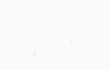 CCCCCCCCCCCCCCCCCCOC1CNC[C@H]1OCCCCCCCCCCCCCCCCCC